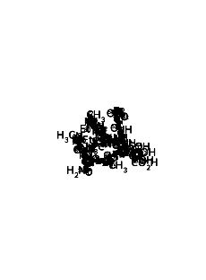 CCn1nc(C)cc1C(=O)Nc1nc2cc(C(N)=O)cc(OCCCN(C)C(=O)OCc3ccc(O[C@@H]4O[C@H](C(=O)O)[C@@H](O)[C@H](O)[C@H]4O)c(NC(=O)CCNC(=O)CCN4C(=O)C=CC4=O)c3)c2n1C/C=C/Cn1c2nc(-c3cc(C)nn3CC)ncc2c2cc(C(N)=O)nc(C)c21